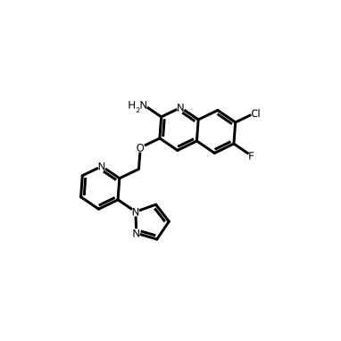 Nc1nc2cc(Cl)c(F)cc2cc1OCc1ncccc1-n1cccn1